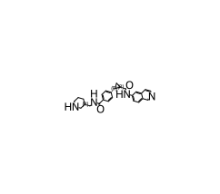 O=C(NC[C@@H]1CCCNC1)c1ccc([C@@H]2C[C@H]2C(=O)Nc2ccc3cnccc3c2)cc1